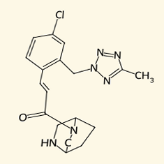 Cc1nnn(Cc2cc(Cl)ccc2C=CC(=O)N2CC3CCC2CN3)n1